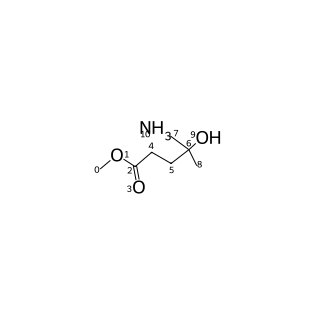 COC(=O)CCC(C)(C)O.N